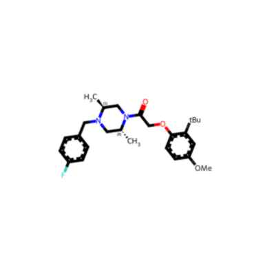 COc1ccc(OCC(=O)N2C[C@H](C)N(Cc3ccc(F)cc3)C[C@H]2C)c(C(C)(C)C)c1